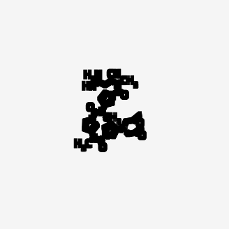 CN(C(=O)n1ccc(N(CC2CO2)CC2CO2)c1)c1ccn(C(=O)N(C)c2ccn(C(=O)N(C)C(C#N)CC(=N)N)c2)c1